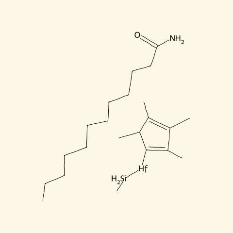 CCCCCCCCCCCC(N)=O.C[SiH2][Hf][C]1=C(C)C(C)=C(C)C1C